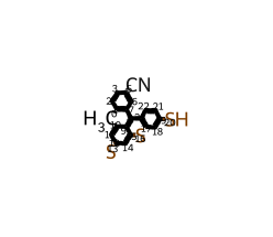 Cc1ccc(C#N)cc1-c1c2ccc(=S)cc-2sc2cc(S)ccc12